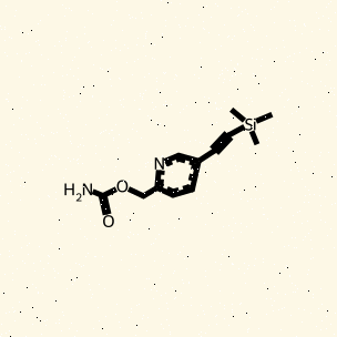 C[Si](C)(C)C#Cc1ccc(COC(N)=O)nc1